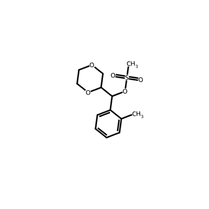 Cc1ccccc1C(OS(C)(=O)=O)C1COCCO1